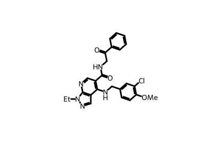 CCn1ncc2c(NCc3ccc(OC)c(Cl)c3)c(C(=O)NCC(=O)c3ccccc3)cnc21